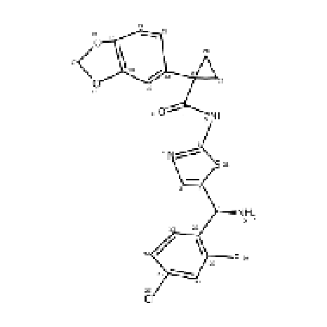 N[C@H](c1cnc(NC(=O)C2(c3ccc4c(c3)OCO4)CC2)s1)c1ccc(Cl)cc1F